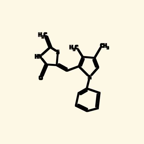 C=c1[nH]c(=O)/c(=C/c2c(C)c(C)cn2-c2ccccc2)s1